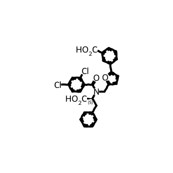 O=C(O)c1cccc(-c2ccc(CN(C(=O)c3ccc(Cl)cc3Cl)[C@@H](Cc3ccccc3)C(=O)O)o2)c1